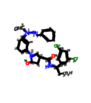 O=CN(NCc1ccccc1)c1cccc(N2CC(C(=O)NC(CC(=O)O)c3cc(Cl)cc(Cl)c3)CC2=O)c1